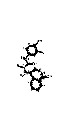 Cc1cc(NC(=O)N(C)[C@@H](C)c2c[nH]c(=O)c3ccccc23)ccc1F